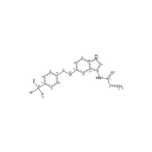 C=CC(=O)Nc1c[nH]c2ccc(OCc3ccc(C(F)(F)F)cc3)cc12